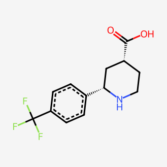 O=C(O)[C@@H]1CCN[C@H](c2ccc(C(F)(F)F)cc2)C1